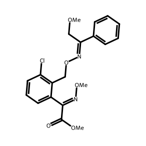 COC/C(=N\OCc1c(Cl)cccc1/C(=N\OC)C(=O)OC)c1ccccc1